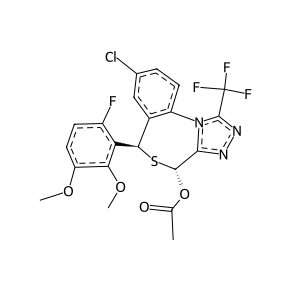 COc1ccc(F)c([C@@H]2S[C@@H](OC(C)=O)c3nnc(C(F)(F)F)n3-c3ccc(Cl)cc32)c1OC